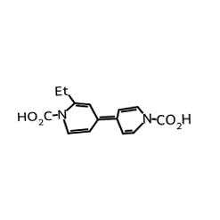 CCC1=CC(=C2C=CN(C(=O)O)C=C2)C=CN1C(=O)O